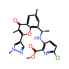 COC(=O)c1nc(Cl)ccc1N[C@H](C)c1cc(C)cc2c(=O)c(C)c(-c3cnn(C)c3)oc12